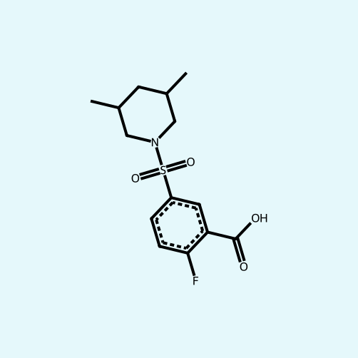 CC1CC(C)CN(S(=O)(=O)c2ccc(F)c(C(=O)O)c2)C1